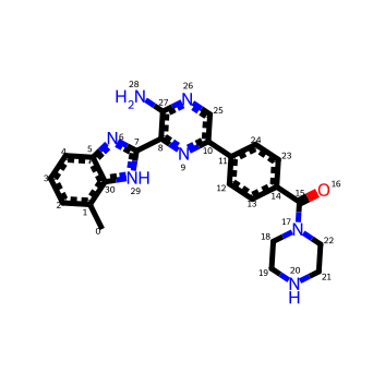 Cc1cccc2nc(-c3nc(-c4ccc(C(=O)N5CCNCC5)cc4)cnc3N)[nH]c12